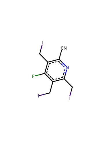 N#Cc1nc(CI)c(CI)c(F)c1CI